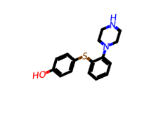 Oc1ccc(Sc2ccccc2N2CCNCC2)cc1